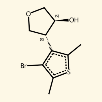 Cc1sc(C)c([C@@H]2COC[C@H]2O)c1Br